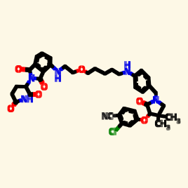 CC1(C)CN(Cc2ccc(NCCCCCOCCNc3cccc4c3C(=O)N(C3CCC(=O)NC3=O)C4=O)cc2)C(=O)C1Oc1ccc(C#N)c(Cl)c1